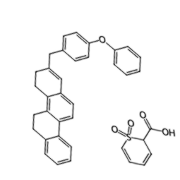 C1=C(Cc2ccc(Oc3ccccc3)cc2)CCc2c1ccc1c2CCc2ccccc2-1.O=C(O)C1C=CC=CS1(=O)=O